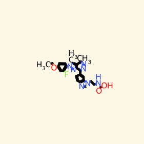 CCOc1ccc(-n2nc3c(-c4ccc5ncn(CCNC(=O)O)c5c4)nnc(C)c3c2C)c(F)c1